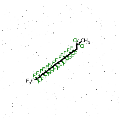 C[Si](Cl)(Cl)CCC(F)(F)C(F)(F)C(F)(F)C(F)(F)C(F)(F)C(F)(F)C(F)(F)C(F)(F)C(F)(F)C(F)(F)C(F)(F)C(F)(F)C(F)(F)C(F)(F)F